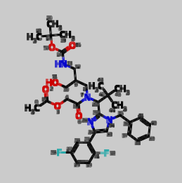 CC(=O)OCC(=O)N(CC(CO)CNC(=O)OC(C)(C)C)C(c1nc(-c2cc(F)ccc2F)cn1Cc1ccccc1)C(C)(C)C